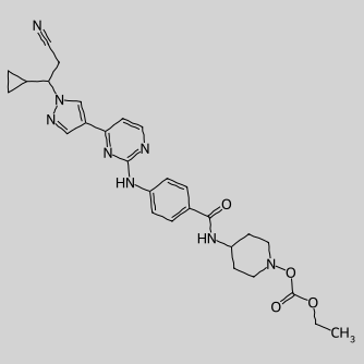 CCOC(=O)ON1CCC(NC(=O)c2ccc(Nc3nccc(-c4cnn(C(CC#N)C5CC5)c4)n3)cc2)CC1